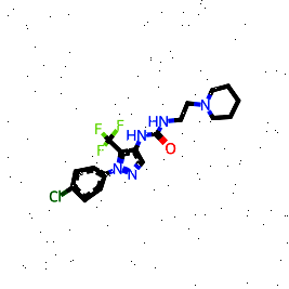 O=C(NCCN1CCCCC1)Nc1cnn(-c2ccc(Cl)cc2)c1C(F)(F)F